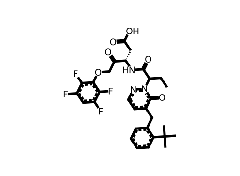 CCC(C(=O)N[C@@H](CC(=O)O)C(=O)COc1c(F)c(F)cc(F)c1F)n1nccc(Cc2ccccc2C(C)(C)C)c1=O